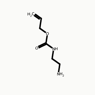 C=CCOC(=O)NCCN